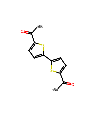 CCCCC(=O)c1ccc(-c2ccc(C(=O)CCCC)s2)s1